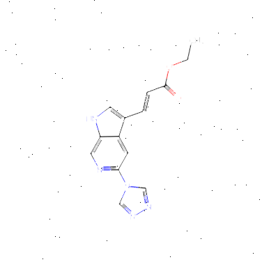 CCOC(=O)C=Cc1c[nH]c2cnc(-n3cnnc3)cc12